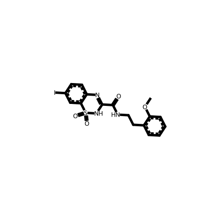 COc1ccccc1CCNC(=O)C1=Nc2ccc(I)cc2S(=O)(=O)N1